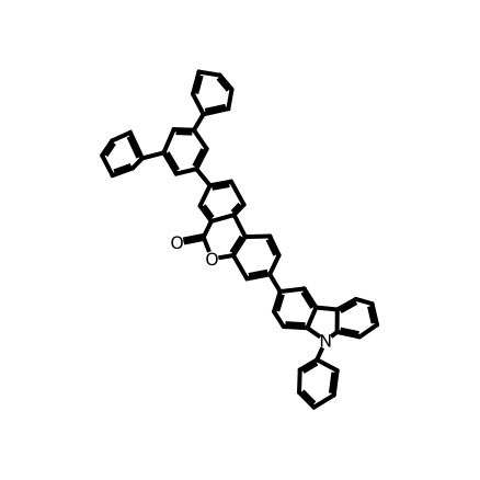 O=c1oc2cc(-c3ccc4c(c3)c3ccccc3n4-c3ccccc3)ccc2c2ccc(-c3cc(-c4ccccc4)cc(-c4ccccc4)c3)cc12